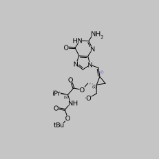 CC(C)[C@H](NC(=O)OC(C)(C)C)C(=O)OC[C@@]1(C[O])C/C1=C/n1cnc2c(=O)[nH]c(N)nc21